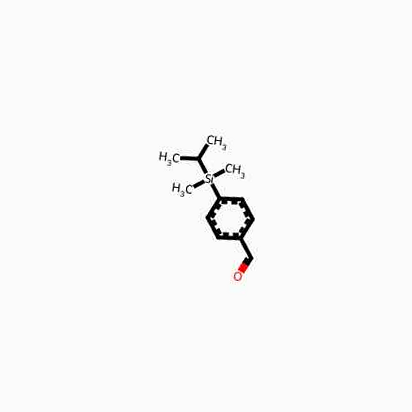 CC(C)[Si](C)(C)c1ccc(C=O)cc1